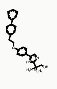 C[C@](N)(CO)c1ncc(-c2ccc(OCCc3ccc(-c4ccccc4)cc3)cc2)[nH]1